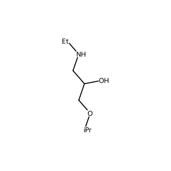 CCNCC(O)COC(C)C